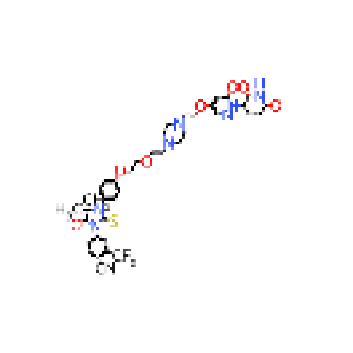 CC1(C)C(=O)N(c2ccc(C#N)c(C(F)(F)F)c2)C(=S)N1c1ccc(OCCOCCN2CCN(CCOc3cnn(C4CCC(=O)NC4=O)c(=O)c3)CC2)cc1